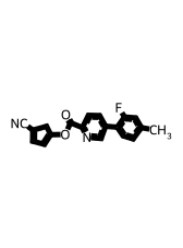 Cc1ccc(-c2ccc(C(=O)OC3=CC=C(C#N)C3)nc2)c(F)c1